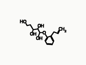 C=CCc1ccccc1OC(O)C(O)C(O)CCO